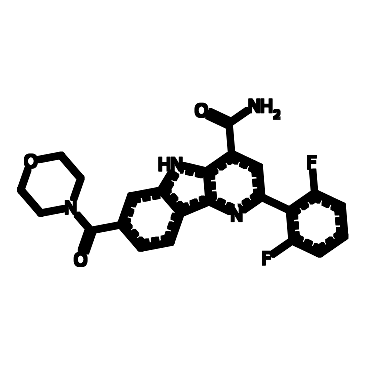 NC(=O)c1cc(-c2c(F)cccc2F)nc2c1[nH]c1cc(C(=O)N3CCOCC3)ccc12